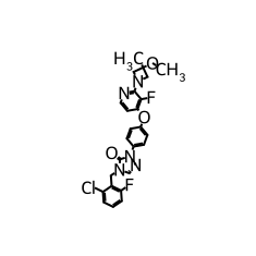 COC1(C)CN(c2nccc(Oc3ccc(-n4ncn(Cc5c(F)cccc5Cl)c4=O)cc3)c2F)C1